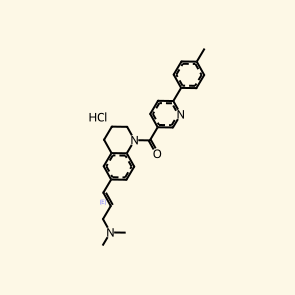 Cc1ccc(-c2ccc(C(=O)N3CCCc4cc(/C=C/CN(C)C)ccc43)cn2)cc1.Cl